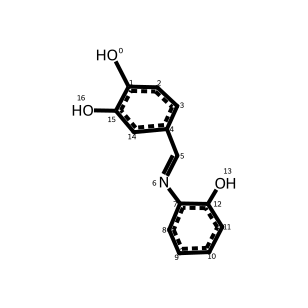 Oc1ccc(C=Nc2ccccc2O)cc1O